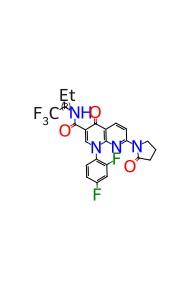 CC[C@@H](NC(=O)c1cn(-c2ccc(F)cc2F)c2nc(N3CCCC3=O)ccc2c1=O)C(F)(F)F